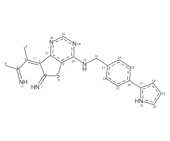 CC(=N)/C(C)=C1\C(=N)Sc2c(NCc3ccc(-c4ccc[nH]4)cc3)ncnc21